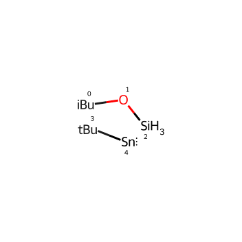 CCC(C)O[SiH3].C[C](C)(C)[Sn]